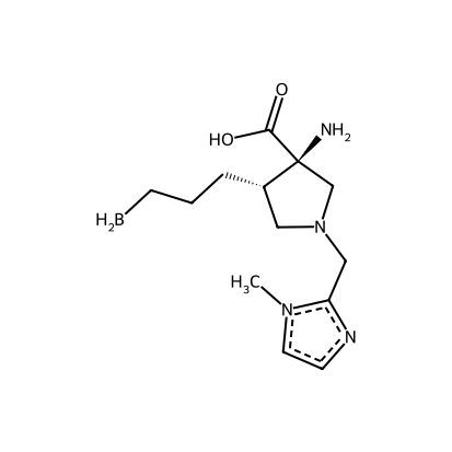 BCCC[C@H]1CN(Cc2nccn2C)C[C@@]1(N)C(=O)O